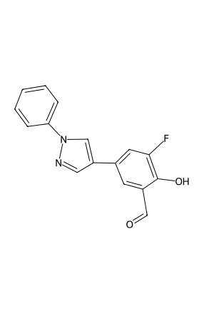 O=Cc1cc(-c2cnn(-c3ccccc3)c2)cc(F)c1O